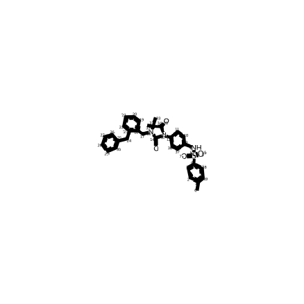 Cc1ccc(S(=O)(=O)Nc2ccc(N3C(=O)N(Cc4ccccc4Cc4ccccc4)C(C)(C)C3=O)cc2)cc1